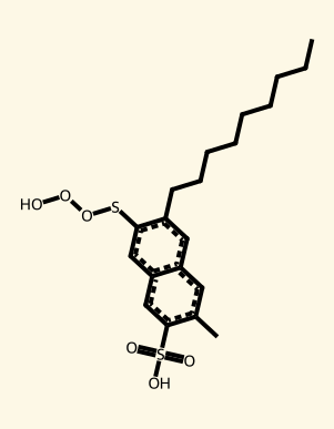 CCCCCCCCCc1cc2cc(C)c(S(=O)(=O)O)cc2cc1SOOO